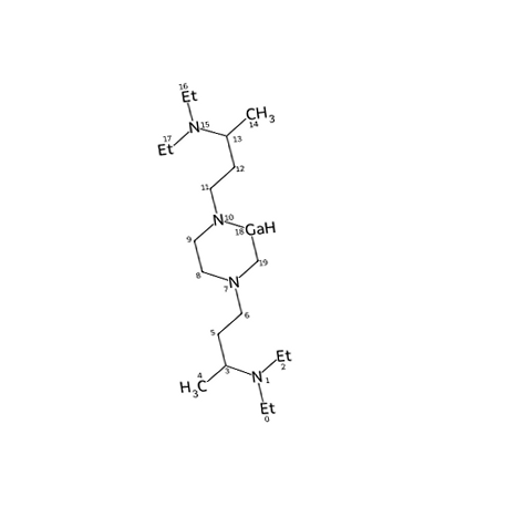 CCN(CC)C(C)CCN1CC[N](CCC(C)N(CC)CC)[GaH][CH2]1